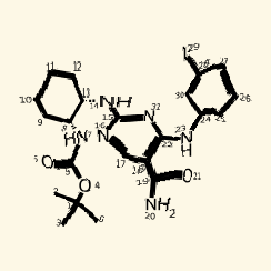 CC(C)(C)OC(=O)N[C@@H]1CCCC[C@@H]1Nc1ncc(C(N)=O)c(Nc2cccc(I)c2)n1